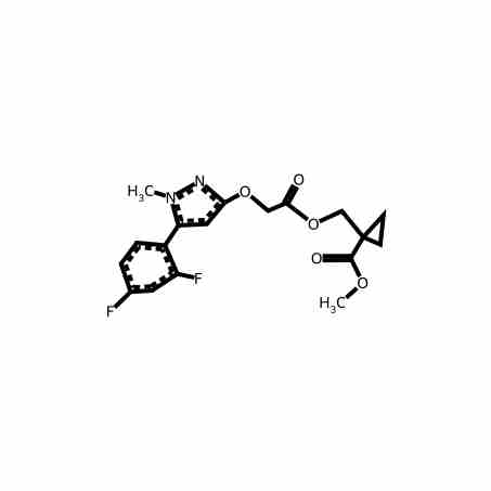 COC(=O)C1(COC(=O)COc2cc(-c3ccc(F)cc3F)n(C)n2)CC1